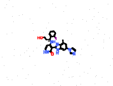 Cc1cc(-n2ccnc2)cc2[nH]c(-c3c(N[C@@H](CCO)c4ccccc4I)cc[nH]c3=O)nc12